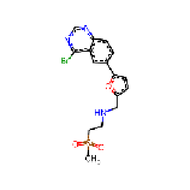 CS(=O)(=O)CCNCc1ccc(-c2ccc3ncnc(Br)c3c2)o1